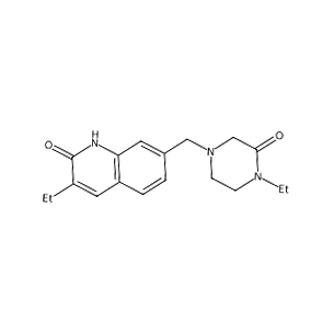 CCc1cc2ccc(CN3CCN(CC)C(=O)C3)cc2[nH]c1=O